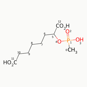 CP(=O)(O)OC(CCCCCC(=O)O)C(=O)O